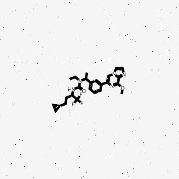 CCN(C(=O)NC(CCC1CC1)C(F)(F)F)C(C)c1cccc(-c2cn3ccnc3c(OC)n2)c1